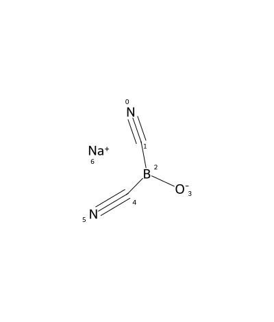 N#CB([O-])C#N.[Na+]